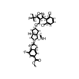 COC(=O)c1cc(F)c2nc(N3C[C@H]4C[C@H](OCc5c(-c6c(Cl)cccc6Cl)noc5C(C)(C)F)C[C@@]4(C=N)C3)sc2c1